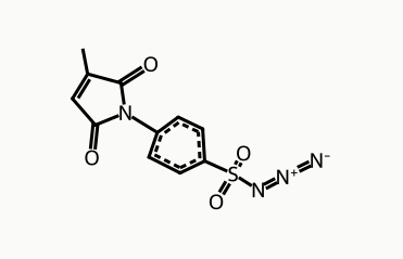 CC1=CC(=O)N(c2ccc(S(=O)(=O)N=[N+]=[N-])cc2)C1=O